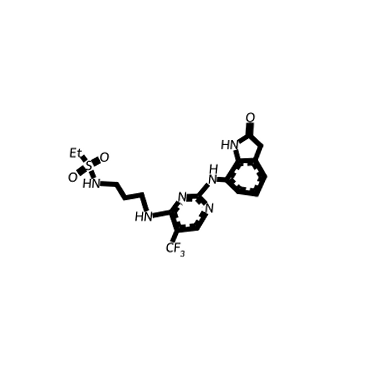 CCS(=O)(=O)NCCCNc1nc(Nc2cccc3c2NC(=O)C3)ncc1C(F)(F)F